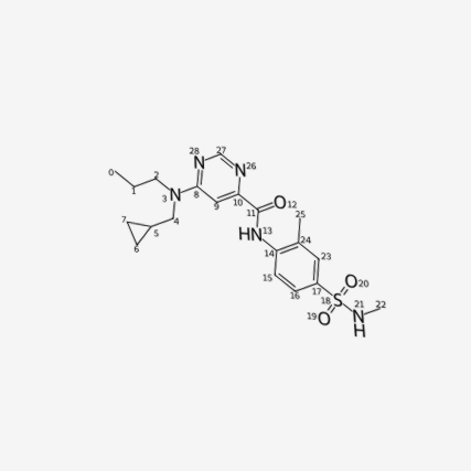 CCCN(CC1CC1)c1cc(C(=O)Nc2ccc(S(=O)(=O)NC)cc2C)ncn1